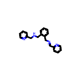 C(=N\Cc1ccccc1CNCc1ccccn1)/c1ccccn1